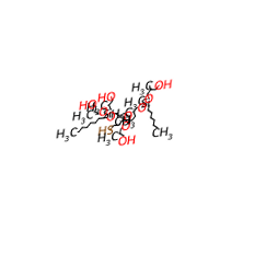 CCCCCCCC[Si](C)(OCC(C)CO)OCC(C)CC[Si](CCCS)(OCC(C)CO)OCC(C)CO[Si](CCCCCCCC)(CC(C)CO)OCC(C)CO